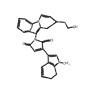 Cn1cc(C2=CC(=O)N(c3c4n(c5ccccc35)C=CC(CCO)C4)C2=O)c2c1CCC=C2